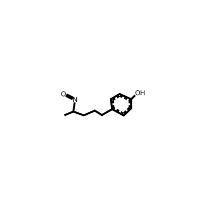 CC(CCCc1ccc(O)cc1)N=O